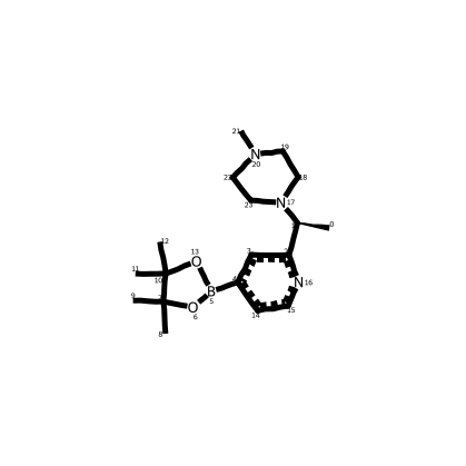 C[C@@H](c1cc(B2OC(C)(C)C(C)(C)O2)ccn1)N1CCN(C)CC1